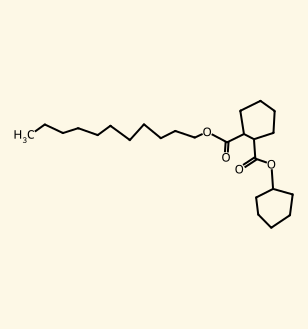 CCCCCCCCCCCOC(=O)C1CCCCC1C(=O)OC1CCCCC1